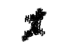 CCN(C(=O)[C@H](CCCCNC(=O)C(CCCCNC(=O)OCc1ccccc1)NC(=O)OC(C)(C)C)NC(=O)OC(C)(C)C)C1C2CCC(C2)C1c1ccccc1